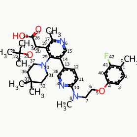 Cc1ccc(OCCN(C)c2ccc(-c3cnc(C)c([C@H](OC(C)(C)C)C(=O)O)c3N3CCC(C)(C)CC3)cn2)cc1F